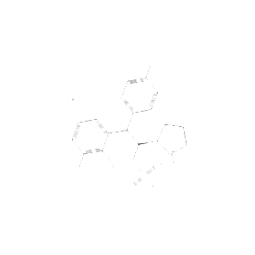 CS(=O)(=O)OC(C(c1ccc(F)cc1)c1cccc(F)c1F)[C@H]1CCCN1.Cl